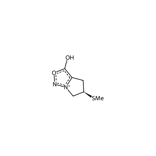 CS[C@@H]1Cc2c(O)on[n+]2C1